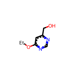 CCOc1cc(CO)ncn1